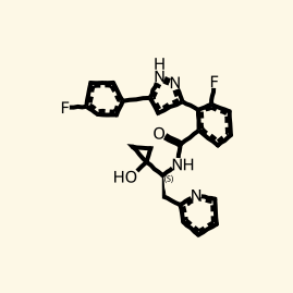 O=C(N[C@@H](Cc1ccccn1)C1(O)CC1)c1cccc(F)c1-c1cc(-c2ccc(F)cc2)[nH]n1